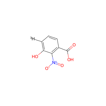 [3H]c1ccc(C(=O)O)c([N+](=O)[O-])c1O